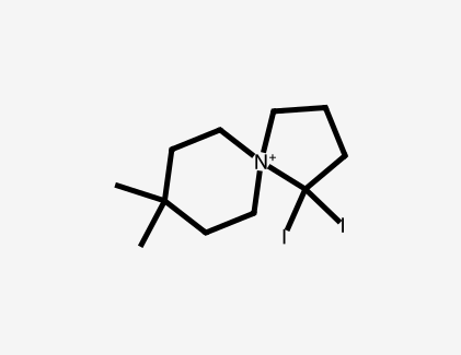 CC1(C)CC[N+]2(CCCC2(I)I)CC1